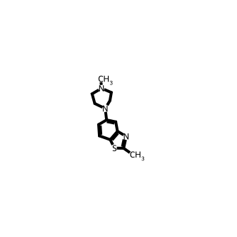 Cc1nc2cc(N3CCN(C)CC3)ccc2s1